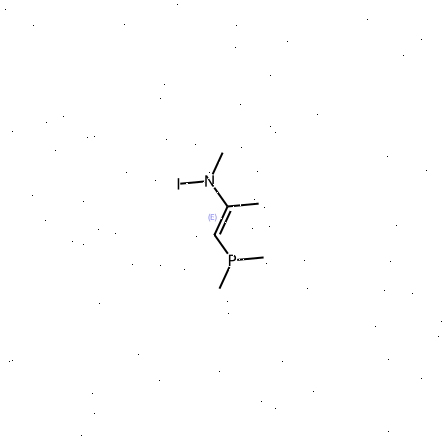 C/C(=C\P(C)C)N(C)I